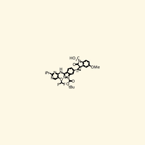 COc1ccc2c(c1)[C@]1(C[C@H]1c1ccc3c(Nc4nc(C(C)C)ncc4OC(F)F)nn(C(=O)OC(C)(C)C)c3c1)C(=O)N2C(=O)O